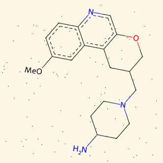 COc1ccc2ncc3c(c2c1)CC(CN1CCC(N)CC1)CO3